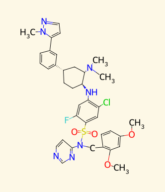 COc1ccc(CN(c2ccncn2)S(=O)(=O)c2cc(Cl)c(N[C@H]3CC[C@H](c4cccc(-c5ccnn5C)c4)C[C@@H]3N(C)C)cc2F)c(OC)c1